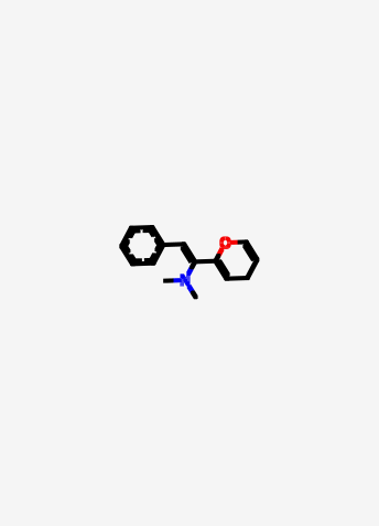 CN(C)C(=Cc1ccccc1)C1=CCC=CO1